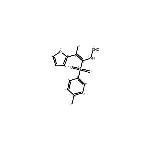 CC(=C(NC=O)S(=O)(=O)c1ccc(C)cc1)c1ccco1